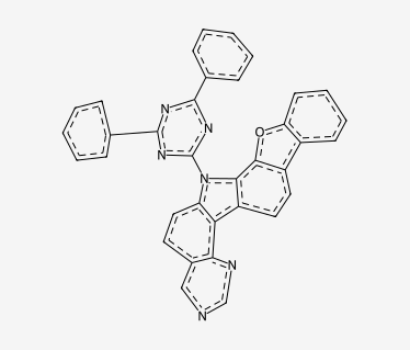 c1ccc(-c2nc(-c3ccccc3)nc(-n3c4ccc5cncnc5c4c4ccc5c6ccccc6oc5c43)n2)cc1